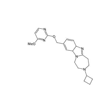 COc1ccnc(OCC2=CC3C(C=C2)N=C2CCN(C4CCC4)CCN23)n1